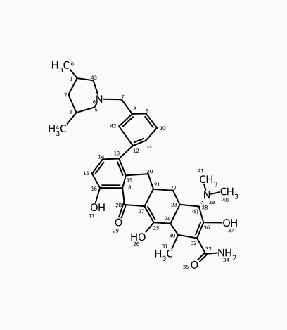 CC1CC(C)CN(Cc2cccc(-c3ccc(O)c4c3CC3CC5C(C(O)=C3C4=O)C(C)C(C(N)=O)=C(O)[C@H]5N(C)C)c2)C1